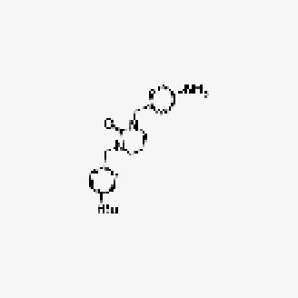 CC(C)(C)c1ccc(CN2CC=CN(Cc3ccc(N)cc3)C2=O)cc1